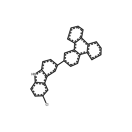 Clc1ccc2[nH]c3ccc(-c4ccc5c6ccccc6c6ccccc6c5c4)cc3c2c1